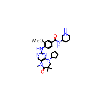 COc1cc(C(=O)N[C@@H]2CCCNC2)ccc1Nc1ncc2c(n1)N(C1CCCC1)CC(C)(C)C(=O)N2C